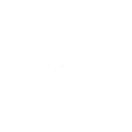 CC1CN(CC(=O)O)C(=N)N1